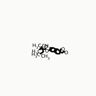 CC(C)(C)CC1(C(=O)OC2CC3CC2C2C4CC(C32)C2(COC(=O)C2)C4)CC1(C)C